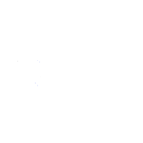 CC1(O)CCN(S(=O)(=O)c2ccc(OCc3ccc(F)cc3)cc2)C(C(=O)NO)C1